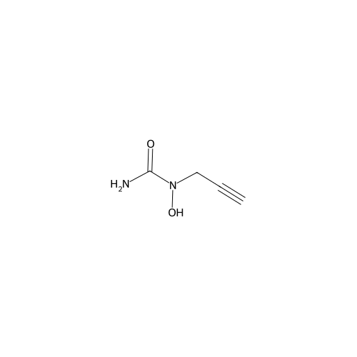 C#CCN(O)C(N)=O